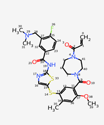 C=CC(=O)N1CCCN(C(=O)c2cc(Sc3cnc(NC(=O)c4ccc(F)c(CN(C)C)c4)s3)c(C)cc2OC)CC1